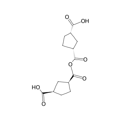 O=C(O)[C@@H]1CC[C@H](C(=O)OC(=O)[C@@H]2CC[C@H](C(=O)O)C2)C1